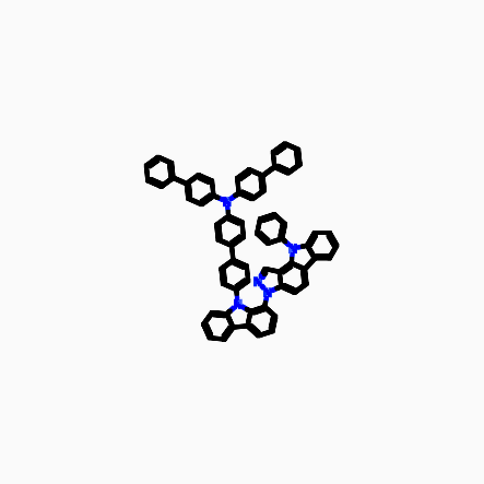 c1ccc(-c2ccc(N(c3ccc(-c4ccccc4)cc3)c3ccc(-c4ccc(-n5c6ccccc6c6cccc(-n7ncc8c7ccc7c9ccccc9n(-c9ccccc9)c78)c65)cc4)cc3)cc2)cc1